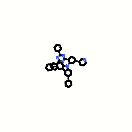 c1ccc(-c2ccc3c(c2)c2cc(-c4ccccc4)ccc2n3-c2cc(-c3cccnc3)ccc2-c2nc(-c3ccccc3)nc(-c3ccccc3)n2)cc1